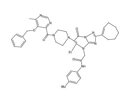 CCc1c(N2CCN(C(=O)c3ncnc(C)c3OCc3ccccc3)CC2)c(=O)n2nc(C3=CCCCCC3)nc2n1CC(=O)Nc1ccc(C(C)(C)C)cc1